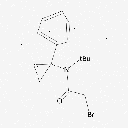 CC(C)(C)N(C(=O)CBr)C1(c2ccccc2)CC1